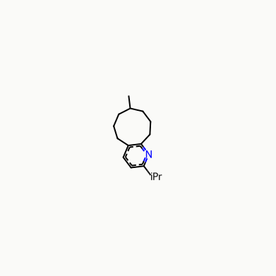 CC1CCCc2ccc(C(C)C)nc2CCC1